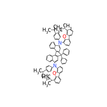 CC(C)c1ccc(N(c2cc3c(c4ccccc24)-c2c(cc(N(c4ccc(C(C)C)cc4)c4cccc5c4oc4c(C(C)C)cccc45)c4ccccc24)C3(c2ccccc2)c2ccccc2)c2cccc3c2oc2c(C(C)C)cccc23)cc1